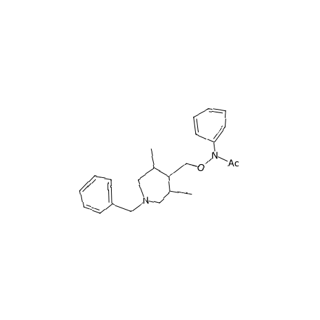 CC(=O)N(OCC1C(C)CN(Cc2ccccc2)CC1C)c1ccccc1